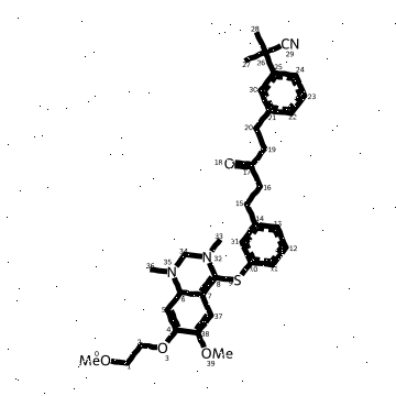 COCCOC1=CC2C(=C(Sc3cccc(CCC(=O)CCc4cccc(C(C)(C)C#N)c4)c3)N(C)CN2C)C=C1OC